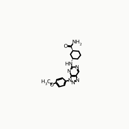 COc1ccc(-n2nnc3cnc(N[C@H]4CCC[C@H](C(N)=O)C4)nc32)cc1